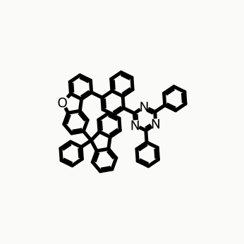 c1ccc(-c2nc(-c3ccccc3)nc(-c3ccc(-c4cccc5oc6ccc(C7(c8ccccc8)c8ccccc8-c8ccccc87)cc6c45)c4ccccc34)n2)cc1